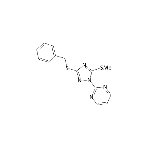 CSc1nc(SCc2ccccc2)nn1-c1ncccn1